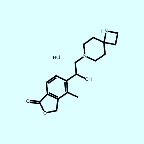 Cc1c(C(O)CN2CCC3(CCN3)CC2)ccc2c1COC2=O.Cl